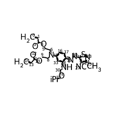 C=CC(=O)OCCN(CCOC(=O)C=C)c1ccc(/N=N/c2snc(C)c2C#N)c(NCOC(C)C)c1